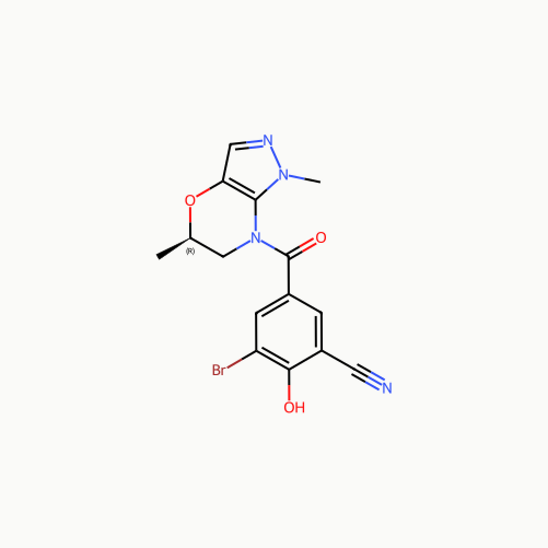 C[C@@H]1CN(C(=O)c2cc(Br)c(O)c(C#N)c2)c2c(cnn2C)O1